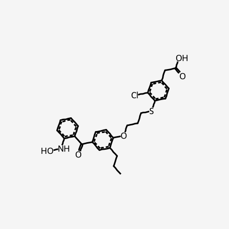 CCCc1cc(C(=O)c2ccccc2NO)ccc1OCCCSc1ccc(CC(=O)O)cc1Cl